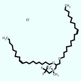 CCCCCCCC/C=C\CCCCCCCCOCC(C[N+](C)(C)CC(F)(F)F)OCCCCCCCC/C=C\CCCCCCCC.[Cl-]